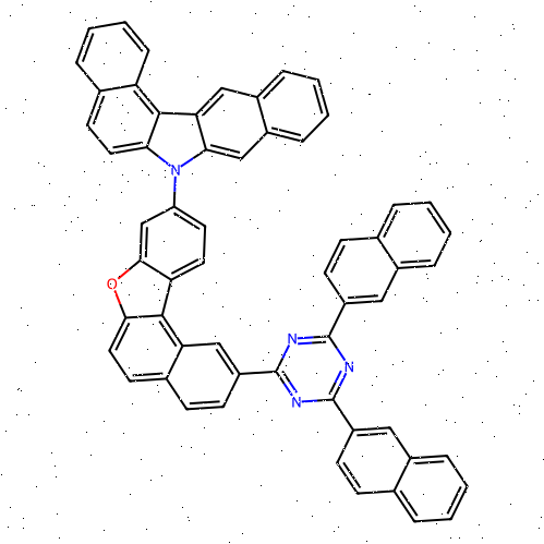 c1ccc2cc(-c3nc(-c4ccc5ccccc5c4)nc(-c4ccc5ccc6oc7cc(-n8c9cc%10ccccc%10cc9c9c%10ccccc%10ccc98)ccc7c6c5c4)n3)ccc2c1